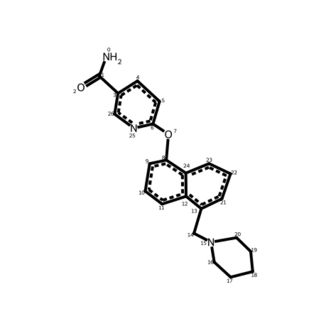 NC(=O)c1ccc(Oc2cccc3c(CN4CCCCC4)cccc23)nc1